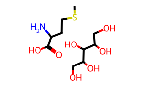 CSCCC(N)C(=O)O.OCC(O)C(O)C(O)CO